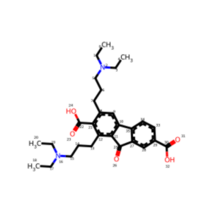 CCN(CC)CCCc1cc2c(c(CCCN(CC)CC)c1C(=O)O)C(=O)c1cc(C(=O)O)ccc1-2